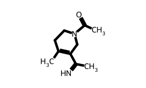 CC(=N)C1=C(C)CCN(C(C)=O)C1